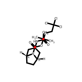 CC(C)(C)OC(=O)N1[C@@H]2CC[C@H]1CC(NC(=O)OCC(Cl)(Cl)Cl)C2